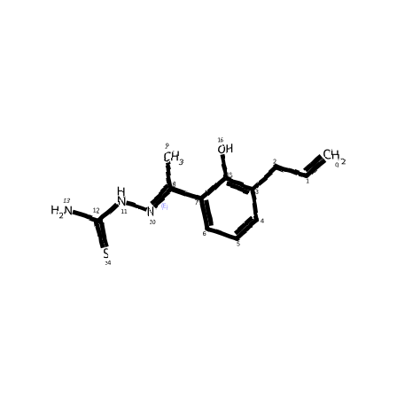 C=CCc1cccc(/C(C)=N/NC(N)=S)c1O